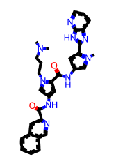 CN(C)CCCn1cc(NC(=O)c2cc3ccccc3cn2)cc1C(=O)Nc1cc(-c2nc3cccnc3[nH]2)n(C)c1